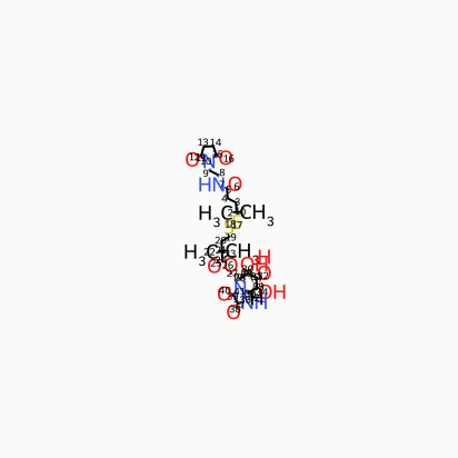 CC(C)(CCC(=O)NCCN1C(=O)CCC1=O)SSCCC(C)(C)C(=O)OC[C@@H]1[C@@H](O)[C@H](O)[C@H](O)[C@H]2NC(=O)C(=O)N12